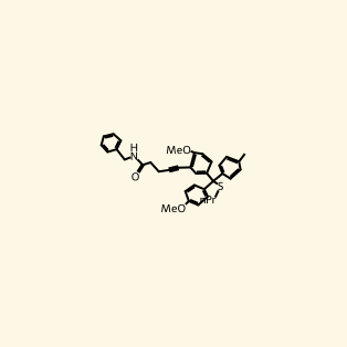 CCCSC(c1ccc(C)cc1)(c1ccc(OC)cc1)c1ccc(OC)c(C#CCCC(=O)NCc2ccccc2)c1